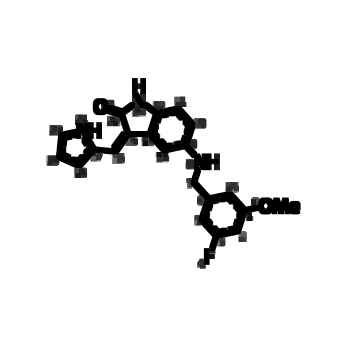 COc1cc(F)cc(CNc2ccc3c(c2)C(=Cc2ccc[nH]2)C(=O)N3)c1